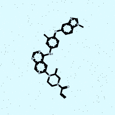 C=CC(=O)N1CCN(c2cc3c(Nc4ccc(Oc5ccc6c(c5)ncn6C)c(C)c4)ncnc3cn2)C(C)C1